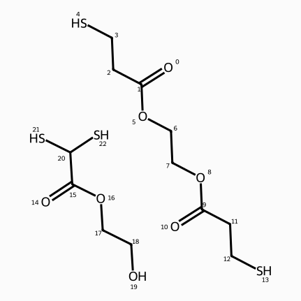 O=C(CCS)OCCOC(=O)CCS.O=C(OCCO)C(S)S